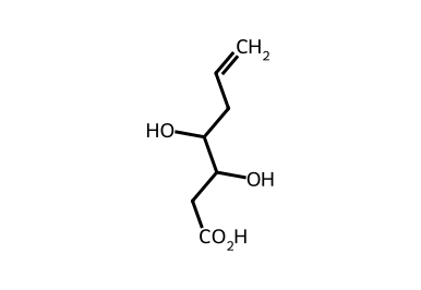 C=CCC(O)C(O)CC(=O)O